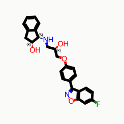 O[C@H](CN[C@H]1c2ccccc2C[C@H]1O)COc1ccc(-c2noc3cc(F)ccc23)cc1